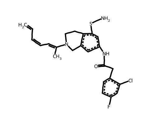 C=C/C=C\C=C(/C)N1CCc2c(cc(NC(=O)Cc3ccc(F)cc3Cl)cc2SN)C1